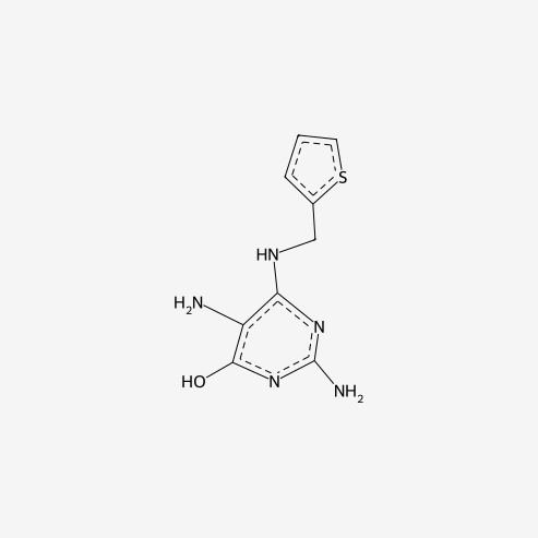 Nc1nc(O)c(N)c(NCc2cccs2)n1